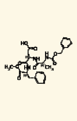 COC(=O)[C@H](Cc1ccccc1)NC(=O)[C@@H](CC(=O)O)NC(=O)[C@@H](C)NC(=O)OCc1ccccc1